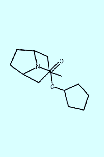 CC1CC2CCC(C1)N2C(=O)OC1CCCC1